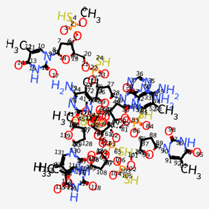 COP(=O)(S)O[C@@H]1C[C@H](n2cc(C)c(=O)[nH]c2=O)O[C@@H]1COP(=O)(S)O[C@@H]1C[C@H](n2cnc3c(N)ncnc32)O[C@@H]1COP(=O)(S)O[C@@H]1C[C@H](n2cc(C)c(N)nc2=O)O[C@@H]1COP(=O)(S)O[C@@H]1C[C@H](n2cc(C)c(N)nc2=O)O[C@@H]1COP(=O)(S)O[C@@H]1C[C@H](n2cc(C)c(=O)[nH]c2=O)O[C@@H]1COP(=O)(S)O[C@@H]1C[C@H](n2cc(C)c(=O)[nH]c2=O)O[C@@H]1COP(=O)(S)O[C@@H]1C[C@H](n2cc(C)c(=O)[nH]c2=O)O[C@@H]1C